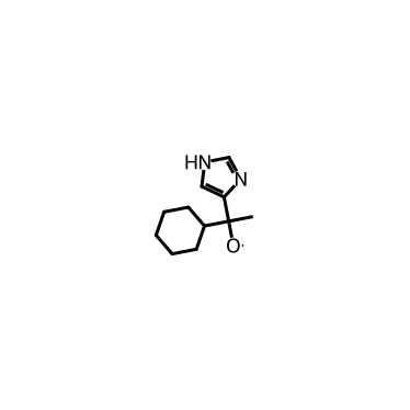 CC([O])(c1c[nH]cn1)C1CCCCC1